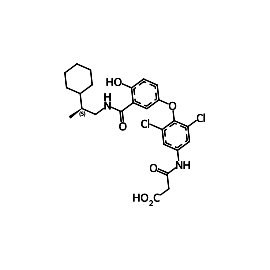 C[C@H](CNC(=O)c1cc(Oc2c(Cl)cc(NC(=O)CC(=O)O)cc2Cl)ccc1O)C1CCCCC1